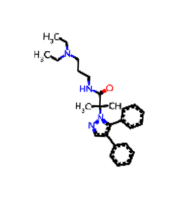 CCN(CC)CCCNC(=O)C(C)(C)n1ncc(-c2ccccc2)c1-c1ccccc1